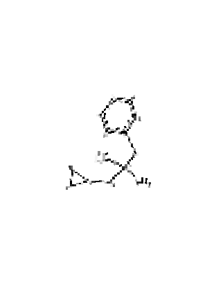 CC(C)(Cc1ccccc1)CC1CC1